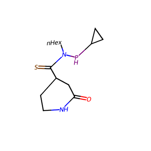 CCCCCCN(PC1CC1)C(=S)C1CCNC(=O)C1